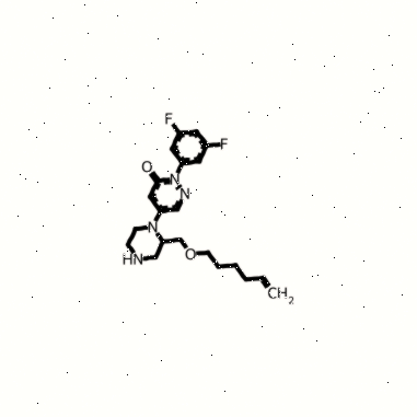 C=CCCCCOCC1CNCCN1c1cnn(-c2cc(F)cc(F)c2)c(=O)c1